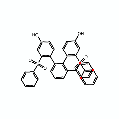 O=S(=O)(c1ccccc1)c1cc(O)ccc1-c1cccc(-c2ccccc2)c1-c1ccc(O)cc1S(=O)(=O)c1ccccc1